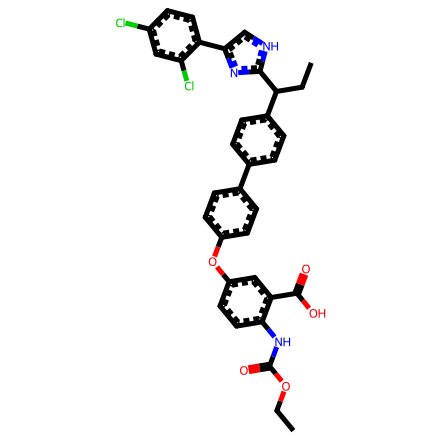 CCOC(=O)Nc1ccc(Oc2ccc(-c3ccc(C(CC)c4nc(-c5ccc(Cl)cc5Cl)c[nH]4)cc3)cc2)cc1C(=O)O